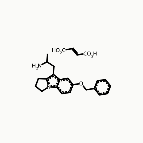 CC(N)Cc1c2n(c3ccc(OCc4ccccc4)cc13)CCC2.O=C(O)C=CC(=O)O